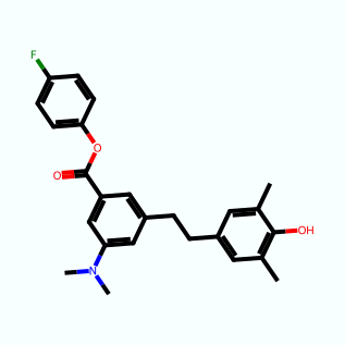 Cc1cc(CCc2cc(C(=O)Oc3ccc(F)cc3)cc(N(C)C)c2)cc(C)c1O